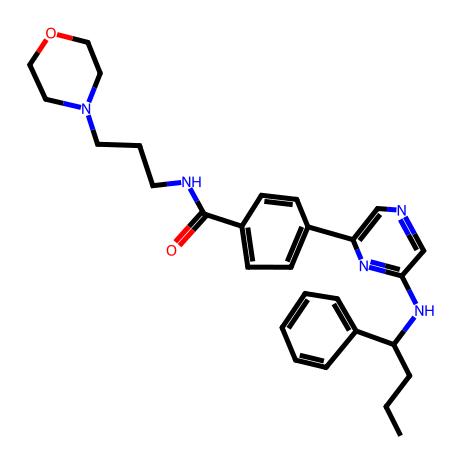 CCCC(Nc1cncc(-c2ccc(C(=O)NCCCN3CCOCC3)cc2)n1)c1ccccc1